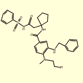 CC(C)CCN(C)c1ccc(C(=O)NC2(CC(=O)NS(=O)(=O)c3ccccc3)CCCC2)cc1NCc1ccccc1